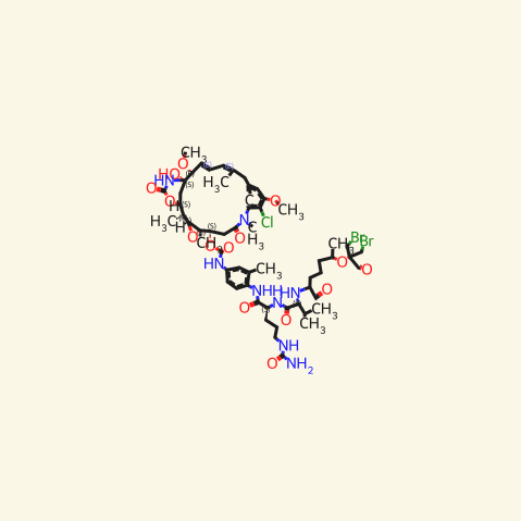 COc1cc2cc(c1Cl)N(C)C(=O)C[C@H](OC(=O)Nc1ccc(NC(=O)[C@H](CCCNC(N)=O)NC(=O)[C@@H](NC(C=O)CCCC(C)OC(C=O)(CBr)CBr)C(C)C)c(C)c1)[C@]1(C)O[C@H]1[C@H](C)[C@@H]1C[C@@](O)(NC(=O)O1)[C@H](OC)/C=C/C=C(\C)C2